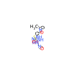 CCC1CN(C(=O)c2cccc(Nc3snc(O)c3C(=N)NCCN3CCOCC3)c2)c2ccccc21